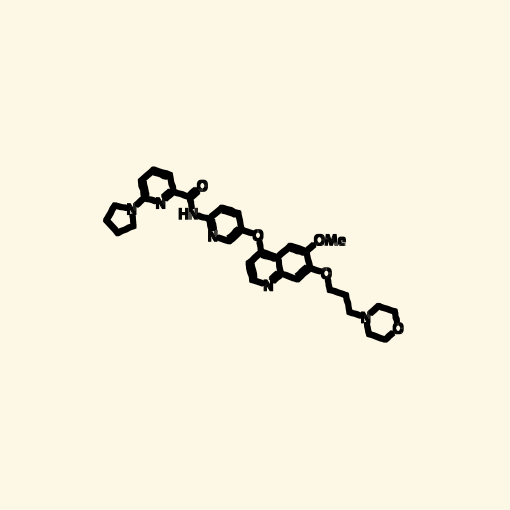 COc1cc2c(Oc3ccc(NC(=O)c4cccc(N5CCCC5)n4)nc3)ccnc2cc1OCCCN1CCOCC1